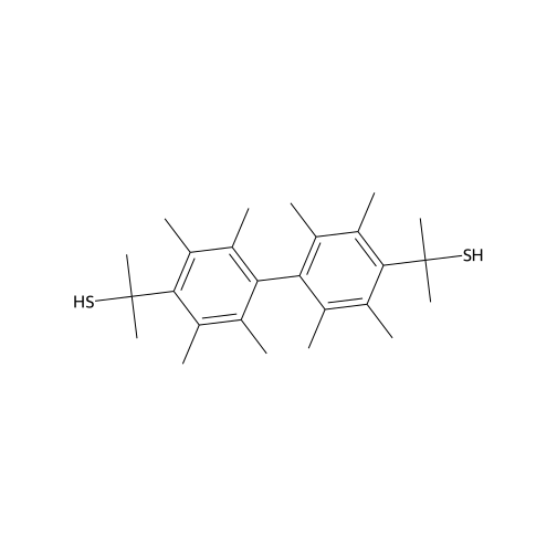 Cc1c(C)c(C(C)(C)S)c(C)c(C)c1-c1c(C)c(C)c(C(C)(C)S)c(C)c1C